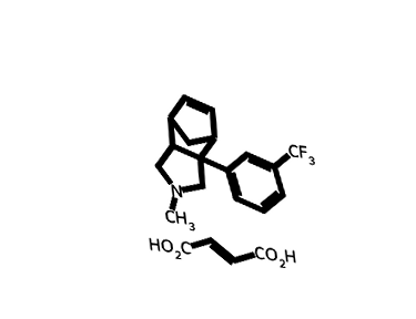 CN1CC2C3C=CC(C3)C2(c2cccc(C(F)(F)F)c2)C1.O=C(O)C=CC(=O)O